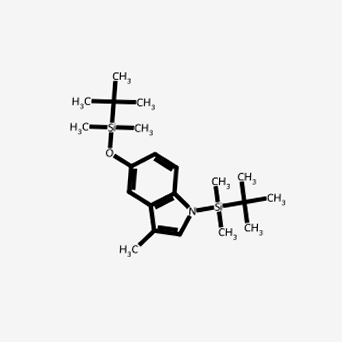 Cc1cn([Si](C)(C)C(C)(C)C)c2ccc(O[Si](C)(C)C(C)(C)C)cc12